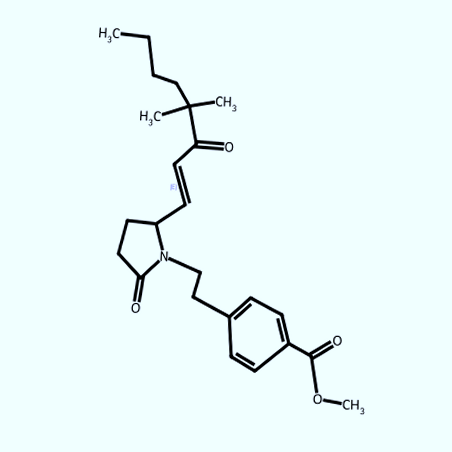 CCCCC(C)(C)C(=O)/C=C/C1CCC(=O)N1CCc1ccc(C(=O)OC)cc1